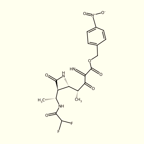 C[C@@H](NC(=O)C(F)F)[C@H]1C(=O)N[C@@H]1[C@@H](C)C(=O)C(=N)C(=O)OCc1ccc([N+](=O)[O-])cc1